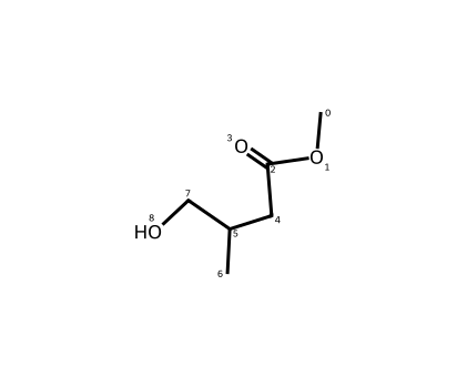 COC(=O)CC(C)CO